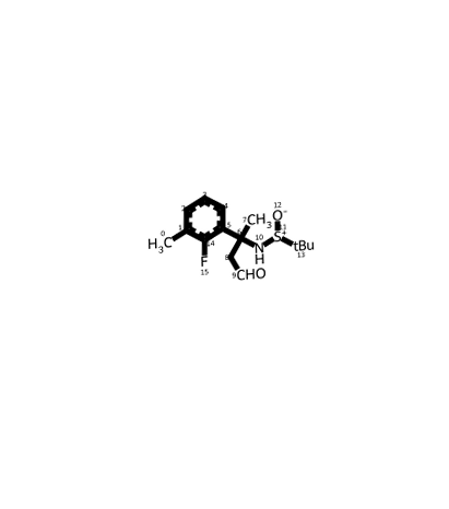 Cc1cccc(C(C)(CC=O)N[S+]([O-])C(C)(C)C)c1F